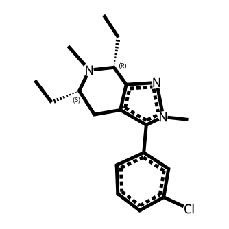 CC[C@H]1Cc2c(nn(C)c2-c2cccc(Cl)c2)[C@@H](CC)N1C